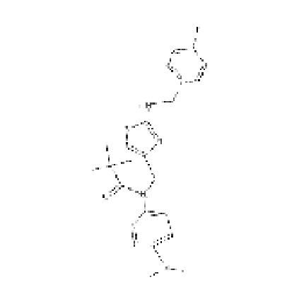 CN(C)c1ccc(N(Cc2csc(NCc3ccc(F)cc3)n2)C(=O)C(C)(C)C)cc1